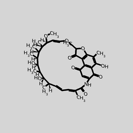 CO[C@H]1/C=C/O[C@@]2(C)Oc3c(C)c(O)c4c(c3C2=O)C(=O)C=C(NC(=O)/C(C)=C/C=C/[C@H](C)[C@H](O)[C@@H](C)[C@@H](O)[C@@H](C)[C@H](C)[C@@H]1C)C4=O